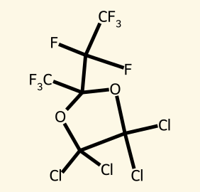 FC(F)(F)C(F)(F)C1(C(F)(F)F)OC(Cl)(Cl)C(Cl)(Cl)O1